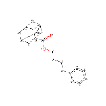 O=C(OCCCCc1ccccc1)C12CC3CC(CC(C3)C1)C2